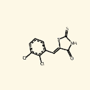 O=C1NC(=S)S/C1=C\c1cccc(Cl)c1Cl